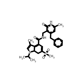 CC1=CN(C(C)C)C2CC(S(C)(=O)=O)=CC(C(=O)NCc3c(Cc4ccccc4)cc(C)[nH]c3=O)=C12